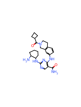 NC(=O)c1cnc(NC2CCCCC2N)nc1Nc1ccc2c(c1)CN(C(=O)C1CCC1)CC2